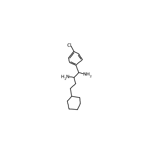 NC(CCC1CCCCC1)C(N)c1ccc(Cl)cc1